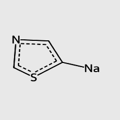 [Na][c]1cncs1